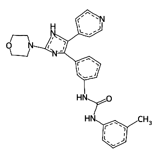 Cc1cccc(NC(=O)Nc2cccc(-c3nc(N4CCOCC4)[nH]c3-c3ccncc3)c2)c1